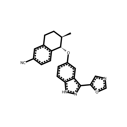 C[C@@H]1CCc2cc(C#N)ccc2[C@H]1Oc1ccc2[nH]nc(-c3cnco3)c2c1